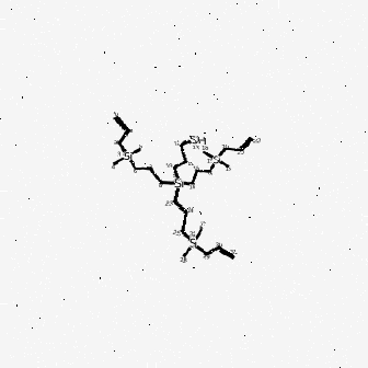 C=CC[Si](C)(C)CCC[Si](CCCS)(CCC[Si](C)(C)CC=C)CCC[Si](C)(C)CC=C